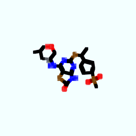 CC(C)C[C@H](CO)Nc1nc(SC(C)c2ccc(S(C)(=O)=O)cc2)nc2[nH]c(=O)sc12